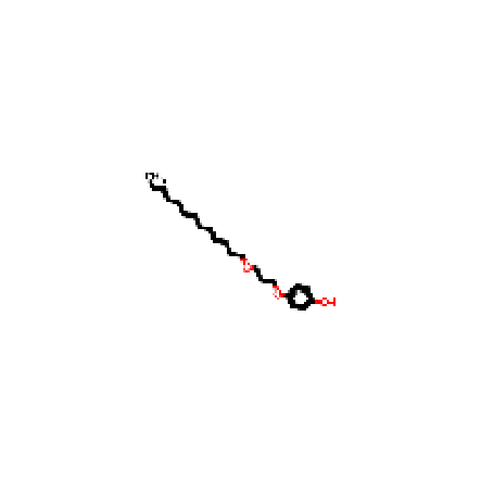 CCCCCCCCCCCCCOCCCOc1ccc(O)cc1